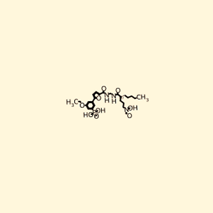 CCCCC[C@H](CCCN(O)C=O)C(=O)NCNC(=O)c1ccc(-c2cc(OCC)cc(P(=O)(O)O)c2)o1